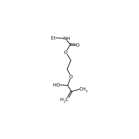 C=C(C)C(O)OCCOC(=O)NCC